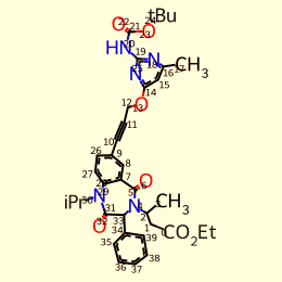 CCOC(=O)CC(C)N1C(=O)c2cc(C#CCOc3cc(C)nc(NC(=O)OC(C)(C)C)n3)ccc2N(C(C)C)C(=O)C1c1ccccc1